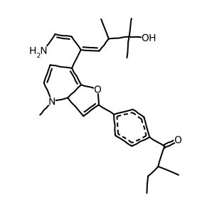 CCC(C)C(=O)c1ccc(C2=CC3C(=C(C(/C=C\N)=C/C(C)C(C)(C)O)C=CN3C)O2)cc1